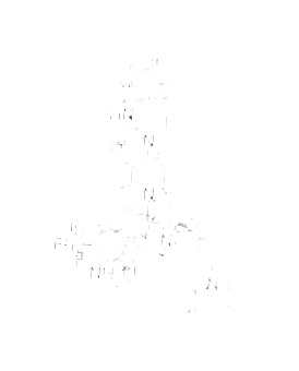 CCN(CC)CC1CCN(C(=O)[C@@](CC=O)(Cc2cc(Cl)c(N)c(C(F)(F)F)c2)N2CCC(N3CCc4ccccc4NC3=O)CC2)CC1